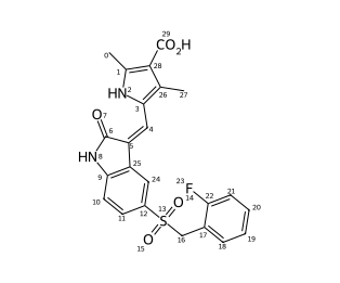 Cc1[nH]c(/C=C2\C(=O)Nc3ccc(S(=O)(=O)Cc4ccccc4F)cc32)c(C)c1C(=O)O